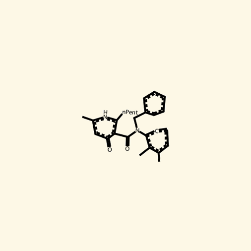 CCCCCc1[nH]c(C)cc(=O)c1C(=O)N(Cc1ccccc1)c1cccc(C)c1C